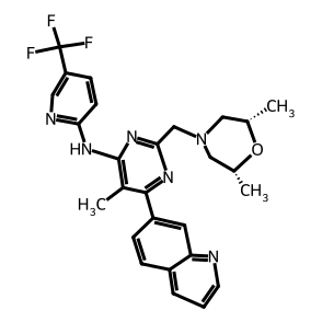 Cc1c(Nc2ccc(C(F)(F)F)cn2)nc(CN2C[C@@H](C)O[C@@H](C)C2)nc1-c1ccc2cccnc2c1